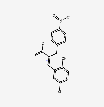 O=[N+]([O-])/C(=C/c1cc(Cl)ccc1O)Cc1ccc([N+](=O)[O-])cc1